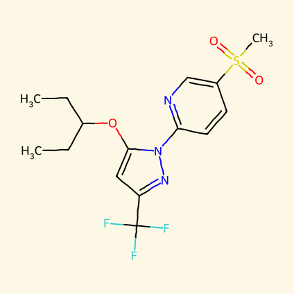 CCC(CC)Oc1cc(C(F)(F)F)nn1-c1ccc(S(C)(=O)=O)cn1